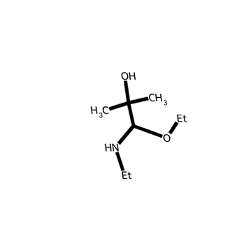 CCNC(OCC)C(C)(C)O